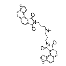 CN(CCCN1C(=O)c2ccc3ccc4sccc4c3c2C1=O)CCCN1C(=O)c2ccc3ccc4sccc4c3c2C1=O